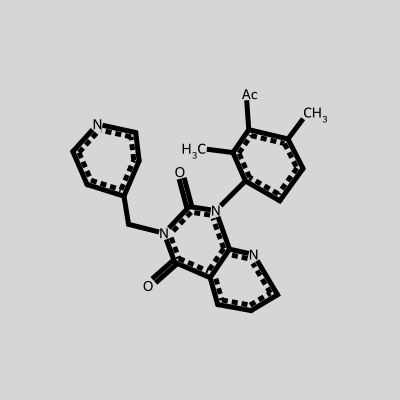 CC(=O)c1c(C)ccc(-n2c(=O)n(Cc3ccncc3)c(=O)c3cccnc32)c1C